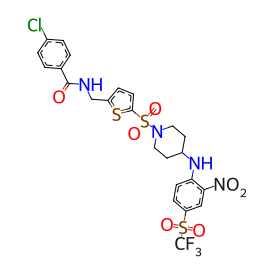 O=C(NCc1ccc(S(=O)(=O)N2CCC(Nc3ccc(S(=O)(=O)C(F)(F)F)cc3[N+](=O)[O-])CC2)s1)c1ccc(Cl)cc1